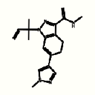 C=CC(C)(C)n1nc(C(=C)NC)c2c1C=C(c1cnn(C)c1)CC2